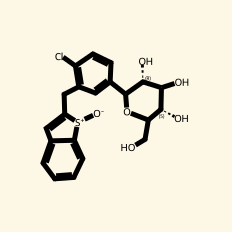 [O-][s+]1c(Cc2cc(C3OC(CO)[C@@H](O)C(O)[C@H]3O)ccc2Cl)cc2ccccc21